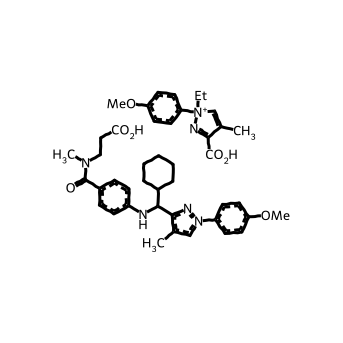 CC[N+]1(c2ccc(OC)cc2)C=C(C)C(C(=O)O)=N1.COc1ccc(-n2cc(C)c(C(Nc3ccc(C(=O)N(C)CCC(=O)O)cc3)C3CCCCC3)n2)cc1